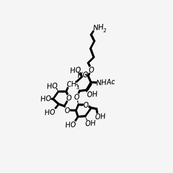 CC(=O)N/C(=C(\O)[C@@H](CCO)O[C@@H]1OC(CO)[C@H](O)C(O)C1O[C@@H]1OC(C)[C@@H](O)C(O)C1O)[C@@H](O)OCCCCCN